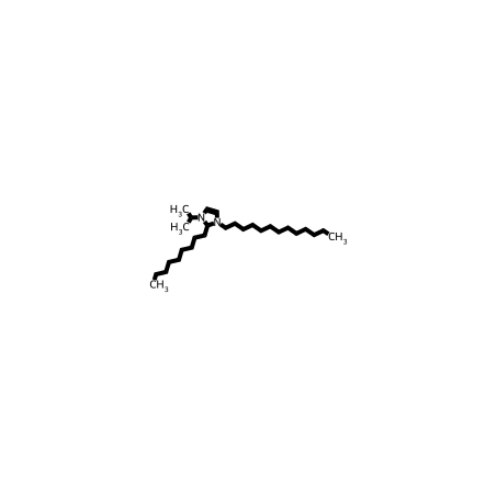 CCCCCCCCCCCCCN1C=CN(C(C)C)C1CCCCCCCCC